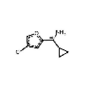 N[C@@H](c1cc(Cl)co1)C1CC1